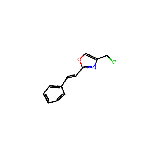 ClCc1coc(C=Cc2ccccc2)n1